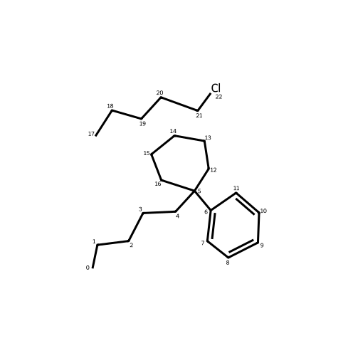 CCCCCC1(c2ccccc2)CCCCC1.CCCCCCl